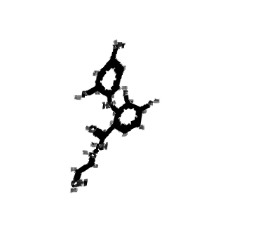 CCCc1ccc(Nc2c(C(=O)NOCCO)ccc(F)c2F)c(F)c1